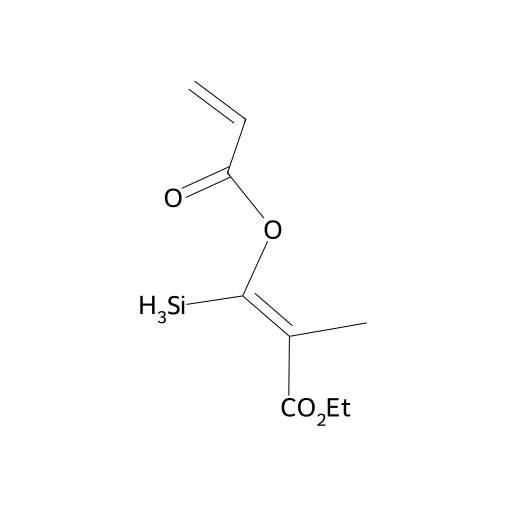 C=CC(=O)OC([SiH3])=C(C)C(=O)OCC